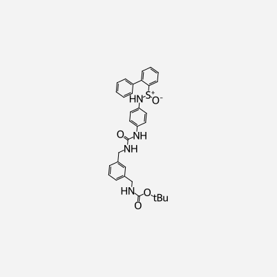 CC(C)(C)OC(=O)NCc1cccc(CNC(=O)Nc2ccc(N[S+]([O-])c3ccccc3-c3ccccc3)cc2)c1